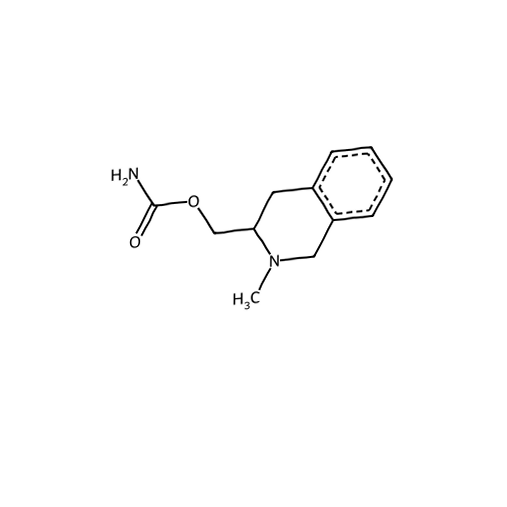 CN1Cc2ccccc2CC1COC(N)=O